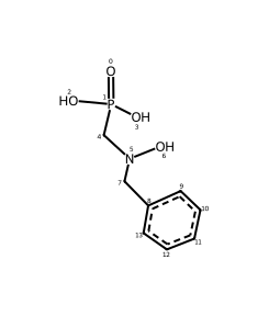 O=P(O)(O)CN(O)Cc1ccccc1